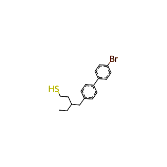 CCC(CCS)Cc1ccc(-c2ccc(Br)cc2)cc1